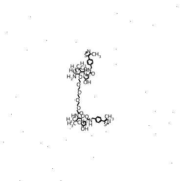 Cc1ncsc1-c1ccc(CNC(=O)[C@H]2C[C@@H](O)CN2C(=O)[C@@H](C(OCCOCCOCCOCCOCC(=O)N[C@H](C(=O)N2C[C@H](O)C[C@H]2C(=O)NCc2ccc(-c3scnc3C)cc2)C(C)(C)C)C(N)=O)C(C)(C)C)cc1